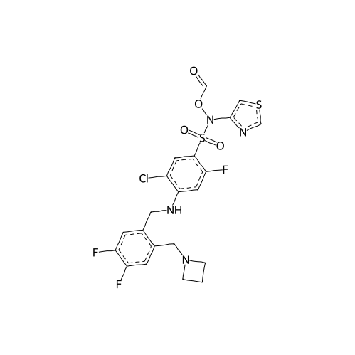 O=CON(c1cscn1)S(=O)(=O)c1cc(Cl)c(NCc2cc(F)c(F)cc2CN2CCC2)cc1F